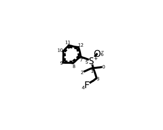 CC(C)(CF)[S+]([O-])c1ccccc1